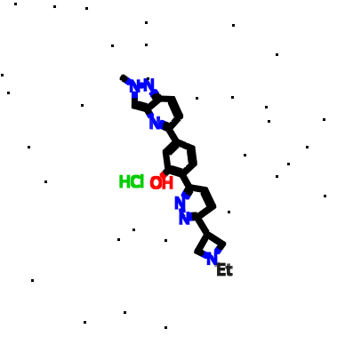 CCN1CC(c2ccc(-c3ccc(-c4ccc5nn(C)cc5n4)cc3O)nn2)C1.Cl